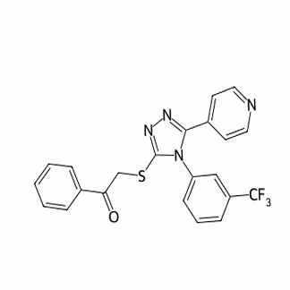 O=C(CSc1nnc(-c2ccncc2)n1-c1cccc(C(F)(F)F)c1)c1ccccc1